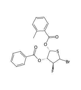 Cc1ccccc1C(=O)O[C@@H]1SC(Br)[C@@H](F)[C@@H]1OC(=O)c1ccccc1